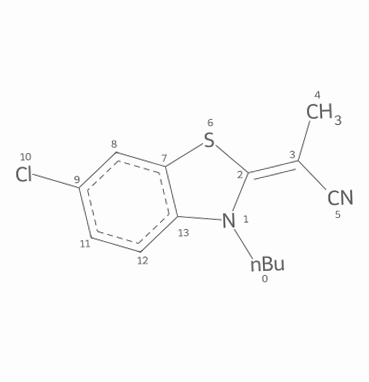 CCCCN1/C(=C(/C)C#N)Sc2cc(Cl)ccc21